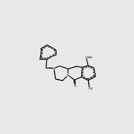 COc1ccc(C#N)c2c1CC1CN(Cc3ccccc3)CCN1C2=O